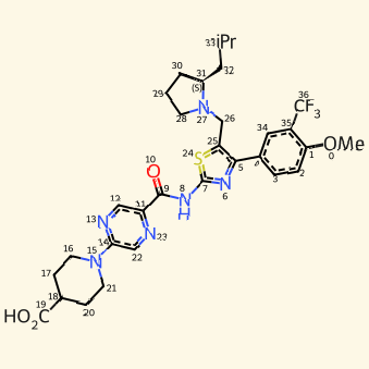 COc1ccc(-c2nc(NC(=O)c3cnc(N4CCC(C(=O)O)CC4)cn3)sc2CN2CCC[C@H]2CC(C)C)cc1C(F)(F)F